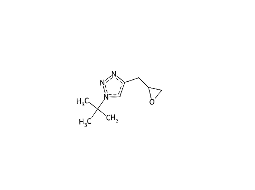 CC(C)(C)n1cc(CC2CO2)nn1